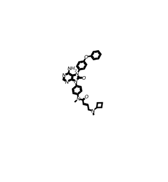 CN(C(=O)C=CCN(C)C1CCC1)c1ccc(-n2c(=O)n(-c3ccc(Oc4ccccc4)cc3)c3c(N)ncnc32)cc1